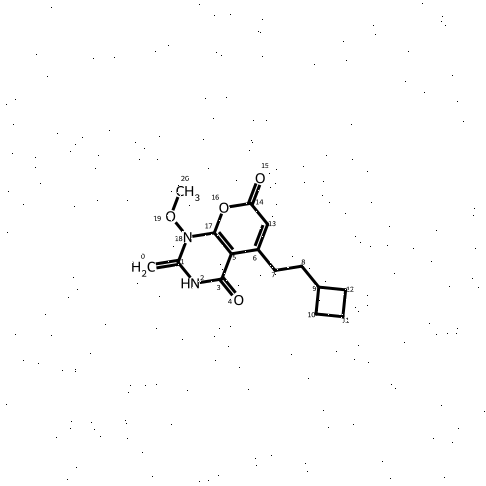 C=C1NC(=O)c2c(CCC3CCC3)cc(=O)oc2N1OC